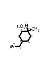 CC(C)CC1CCC(C)(C(=O)O)CC1